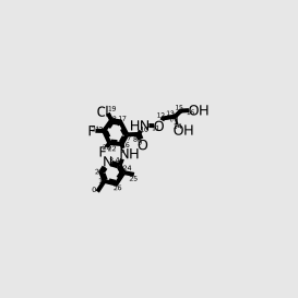 Cc1cnc(Nc2c(C(=O)NOC[C@H](O)CO)cc(Cl)c(F)c2F)c(C)c1